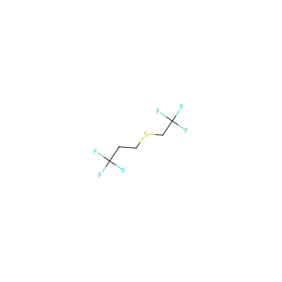 FC(F)(F)CCSCC(F)(F)F